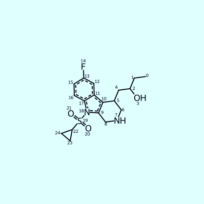 CCC(O)CC1CNCc2c1c1cc(F)ccc1n2S(=O)(=O)C1CC1